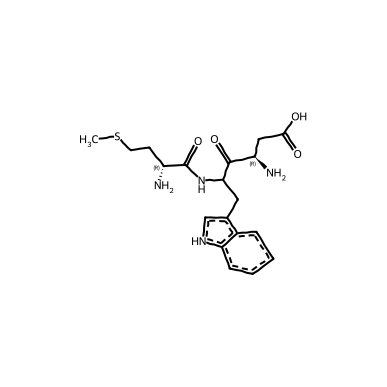 CSCC[C@@H](N)C(=O)NC(Cc1c[nH]c2ccccc12)C(=O)[C@H](N)CC(=O)O